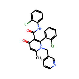 Cc1cc(=O)c(C(=O)Nc2ccccc2Cl)c(-c2ccccc2Cl)n1Cc1cccnc1